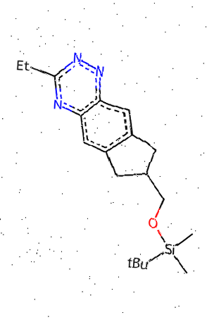 CCc1nnc2cc3c(cc2n1)CC(CO[Si](C)(C)C(C)(C)C)C3